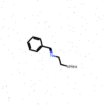 CCCCCCCCN=Cc1ccccc1